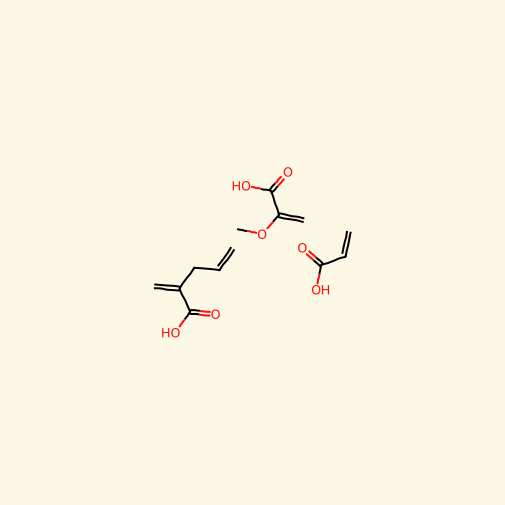 C=C(OC)C(=O)O.C=CC(=O)O.C=CCC(=C)C(=O)O